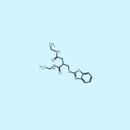 CCNC(=O)CC(CSc1nc2ccccc2o1)C(=O)NCC